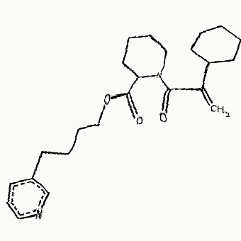 C=C(C(=O)N1CCCCC1C(=O)OCCCCc1cccnc1)C1CCCCC1